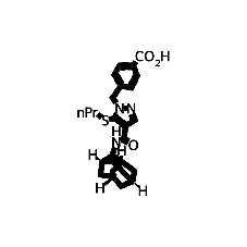 CCCSc1c(C(=O)NC2[C@H]3C[C@@H]4C[C@@H](C[C@H]2C4)C3)cnn1Cc1ccc(C(=O)O)cc1